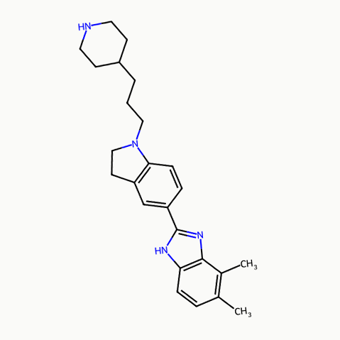 Cc1ccc2[nH]c(-c3ccc4c(c3)CCN4CCCC3CCNCC3)nc2c1C